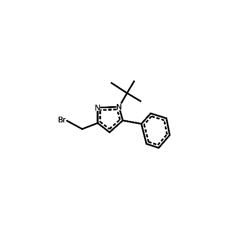 CC(C)(C)n1nc(CBr)cc1-c1ccccc1